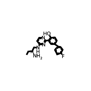 CC[C@@H](N)CNc1ccnc(-c2cc(-c3ccc(F)cc3)ccc2O)n1